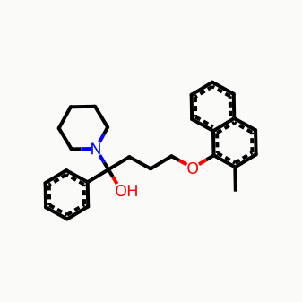 Cc1ccc2ccccc2c1OCCCC(O)(c1ccccc1)N1CCCCC1